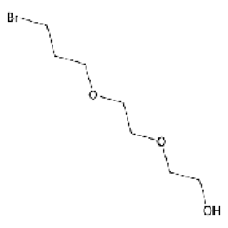 OCCOCCOCCCBr